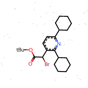 CC(C)(C)OC(=O)C(Br)c1ccc(C2CCCCC2)nc1C1CCCCC1